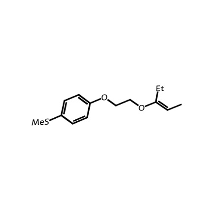 C/C=C(\CC)OCCOc1ccc(SC)cc1